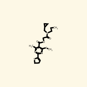 CCCN(CC1CC1)C(=O)COC(=O)c1c(C)nc(C2=CCCS2)nc1SC